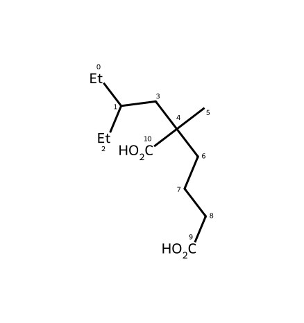 CCC(CC)CC(C)(CCCC(=O)O)C(=O)O